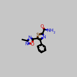 Cc1noc(-c2sc(C(N)=O)nc2-c2ccccc2)n1